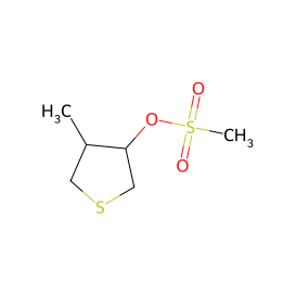 CC1CSCC1OS(C)(=O)=O